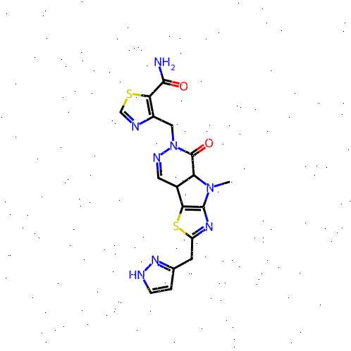 CN1c2nc(Cc3cc[nH]n3)sc2C2C=NN(Cc3ncsc3C(N)=O)C(=O)C21